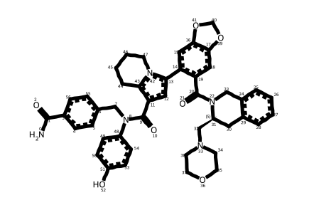 NC(=O)c1ccc(CN(C(=O)c2cc(-c3cc4c(cc3C(=O)N3Cc5ccccc5C[C@H]3CN3CCOCC3)OCO4)n3c2CCCC3)c2ccc(O)cc2)cc1